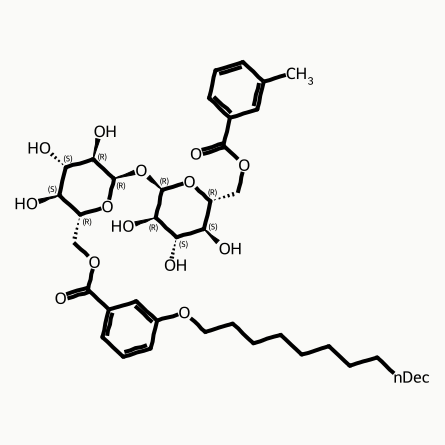 CCCCCCCCCCCCCCCCCCOc1cccc(C(=O)OC[C@H]2O[C@H](O[C@H]3O[C@H](COC(=O)c4cccc(C)c4)[C@@H](O)[C@H](O)[C@H]3O)[C@H](O)[C@@H](O)[C@@H]2O)c1